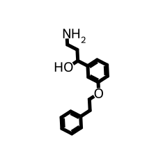 NCCC(O)c1cccc(OCCc2ccccc2)c1